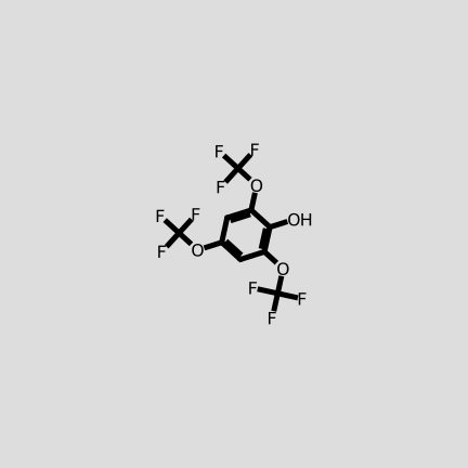 Oc1c(OC(F)(F)F)cc(OC(F)(F)F)cc1OC(F)(F)F